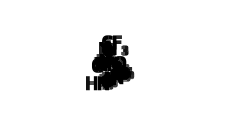 O=C(NCC(c1cnc(C(F)(F)F)nc1)N1CCOCC1)c1cc(N2CCNCC2)nc2ccccc12